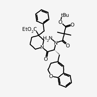 CCOC(=O)C1(Cc2ccccc2)CCCN(C(=O)[C@@H](CC2=Cc3ccccc3OCC2)N(N)C(=O)C(C)(C)C(=O)OC(C)(C)C)C1